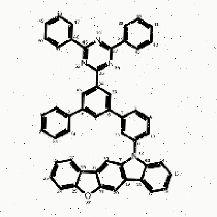 c1ccc(-c2cc(-c3cccc(-n4c5ccccc5c5cc6oc7ccccc7c6cc54)c3)cc(-c3nc(-c4ccccc4)nc(-c4ccccc4)n3)c2)cc1